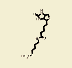 O=C(CCCCC1SCC2NC(=O)NC21)NCCCCSC(=O)O